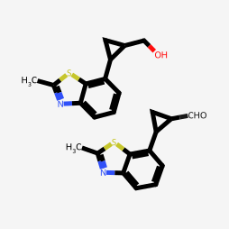 Cc1nc2cccc(C3CC3C=O)c2s1.Cc1nc2cccc(C3CC3CO)c2s1